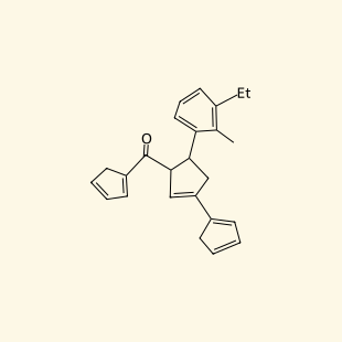 CCc1cccc(C2CC(C3=CC=CC3)=CC2C(=O)C2=CC=CC2)c1C